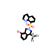 CC[SiH](CC)C1CN(S(=O)(=O)c2cccc3cccnc23)Cc2c(Br)cccc21